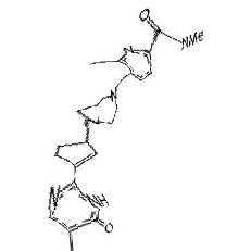 CNC(=O)c1ccc(N2CCN(C3C=C(c4ncc(C)c(=O)[nH]4)CC3)CC2)c(C)n1